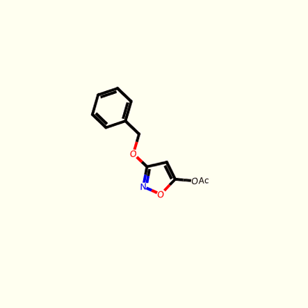 CC(=O)Oc1cc(OCc2ccccc2)no1